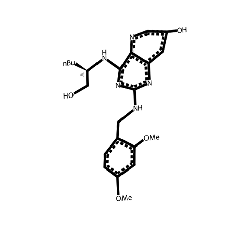 CCCC[C@H](CO)Nc1nc(NCc2ccc(OC)cc2OC)nc2cc(O)cnc12